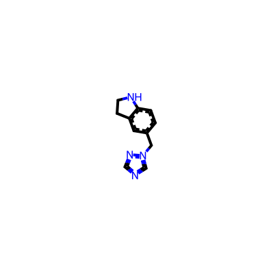 c1ncn(Cc2ccc3c(c2)CCN3)n1